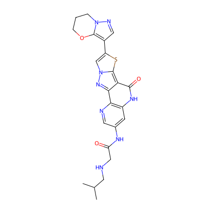 CC(C)CNCC(=O)Nc1cnc2c(c1)[nH]c(=O)c1c2nn2cc(-c3cnn4c3OCCC4)sc12